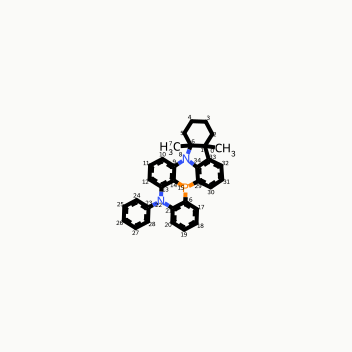 CC12CCCCC1(C)N1c3cccc4c3P(c3ccccc3N4c3ccccc3)c3cccc2c31